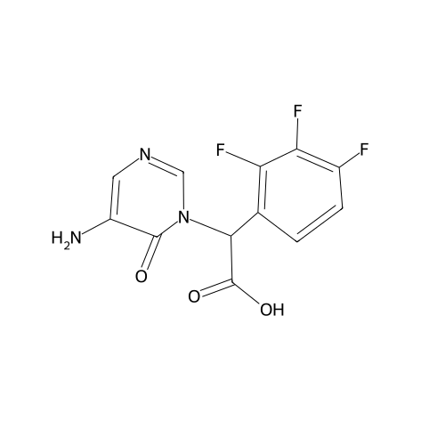 Nc1cncn(C(C(=O)O)c2ccc(F)c(F)c2F)c1=O